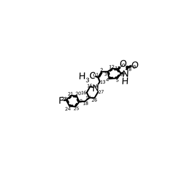 C/C(=C/c1ccc2[nH]c(=O)oc2c1)CN1CCC(Cc2ccc(F)cc2)CC1